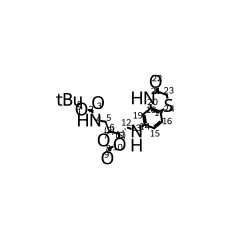 CC(C)(C)OC(=O)NC[C@@H]1OC(=O)O[C@H]1CNc1ccc2c(c1)NC(=O)CS2